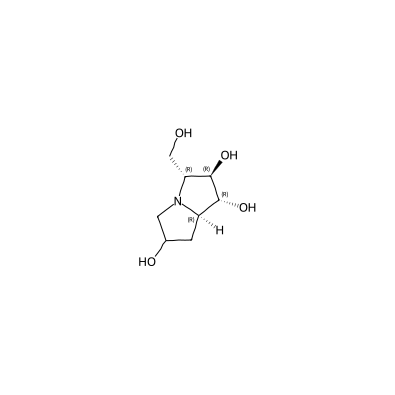 OC[C@@H]1[C@@H](O)[C@H](O)[C@H]2CC(O)CN12